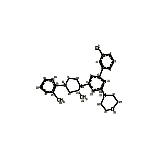 CCc1cccc(-c2cc(N3CCN(c4ncccc4C)C[C@H]3C)nc(N3CCOCC3)n2)c1